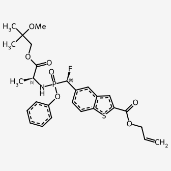 C=CCOC(=O)c1cc2cc([C@H](F)P(=O)(N[C@@H](C)C(=O)OCC(C)(C)OC)Oc3ccccc3)ccc2s1